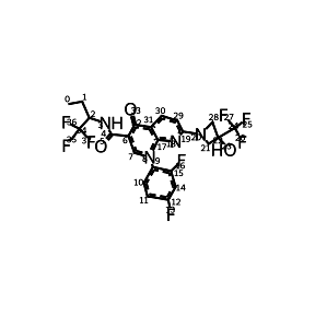 CCC(NC(=O)c1cn(-c2ccc(F)cc2F)c2nc(N3CC(O)(C(F)(F)F)C3)ccc2c1=O)C(F)(F)F